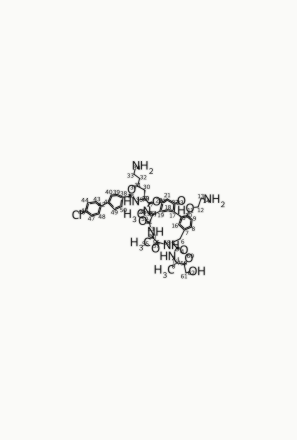 C[C@H](NC(=O)C1Cc2ccc(OCCN)c(c2)-c2cc(ccc2O)[C@H](N(C)C(=O)[C@H](CCCCN)NC(=O)c2ccc(-c3ccc(Cl)cc3)cc2)C(=O)N[C@@H](C)C(=O)N1)C(=O)CO